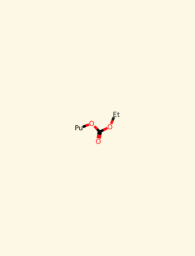 CCOC(=O)[O][Pu]